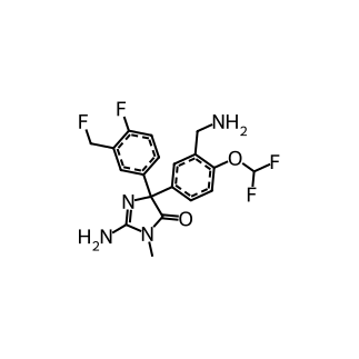 CN1C(=O)C(c2ccc(F)c(CF)c2)(c2ccc(OC(F)F)c(CN)c2)N=C1N